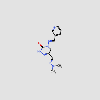 CN(C)N=CC1=NNC(=O)N(N=Cc2cccnc2)C1